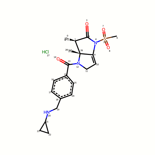 CC(C)[C@H]1C(=O)N(S(C)(=O)=O)C2=CCN(C(=O)c3ccc(CNC4CC4)cc3)[C@@H]21.Cl